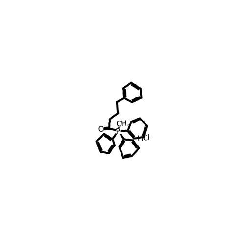 CP(C(=O)CCCc1ccccc1)(c1ccccc1)(c1ccccc1)c1ccccc1.Cl